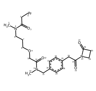 CC(C)CC(=O)N(C)CCCOCC(=O)N(C)Cc1ccc(CC(=O)N2CCC2=O)cc1